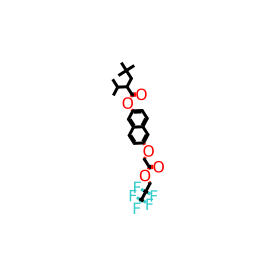 CC(C)C(CC(C)(C)C)C(=O)Oc1ccc2cc(OCC(=O)OCC(F)(F)C(F)(F)F)ccc2c1